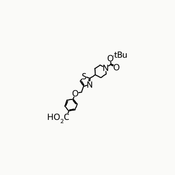 CC(C)(C)OC(=O)N1CCC(c2nc(COc3ccc(C(=O)O)cc3)cs2)CC1